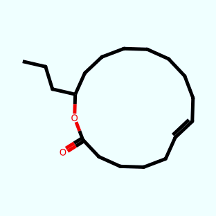 CCCC1CCCCCCC/C=C/CCCCC(=O)O1